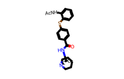 CC(=O)Nc1ccccc1Sc1ccc(C(=O)NC2CC3CCN(CC3)C2)cc1